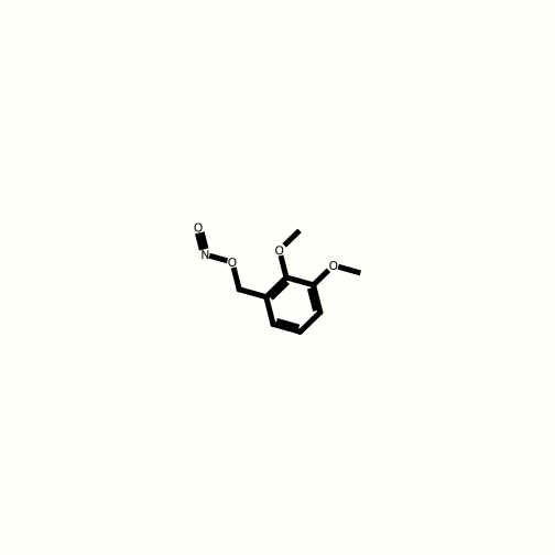 COc1cccc(CON=O)c1OC